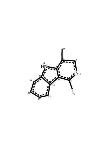 Cc1cnc(I)c2c1[nH]c1ccccc12